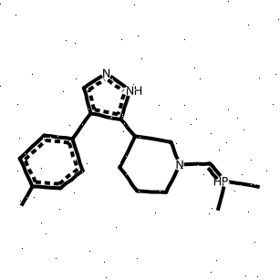 Cc1ccc(-c2cn[nH]c2C2CCCN(C=[PH](C)C)C2)cc1